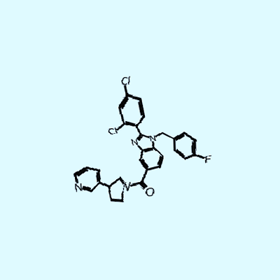 O=C(c1ccc2c(c1)nc(-c1ccc(Cl)cc1Cl)n2Cc1ccc(F)cc1)N1CCC(c2cccnc2)C1